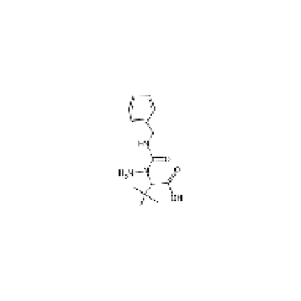 CC(C)(C)C(C(=O)O)N(N)C(=O)NCc1ccccc1